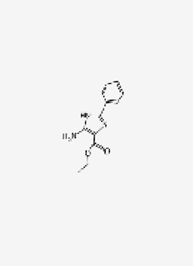 CCOC(=O)c1nc(-c2ccccc2)[nH]c1N